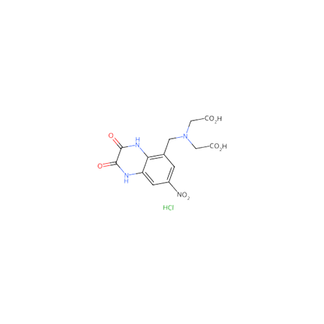 Cl.O=C(O)CN(CC(=O)O)Cc1cc([N+](=O)[O-])cc2[nH]c(=O)c(=O)[nH]c12